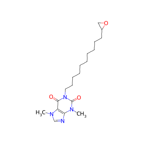 Cn1cnc2c1c(=O)n(CCCCCCCCCCC1CO1)c(=O)n2C